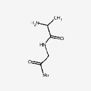 CC(N)C(=O)NCC(=O)C(C)(C)C